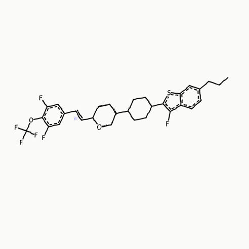 CCCc1ccc2c(F)c(C3CCC(C4CCC(/C=C/c5cc(F)c(OC(F)(F)F)c(F)c5)OC4)CC3)sc2c1